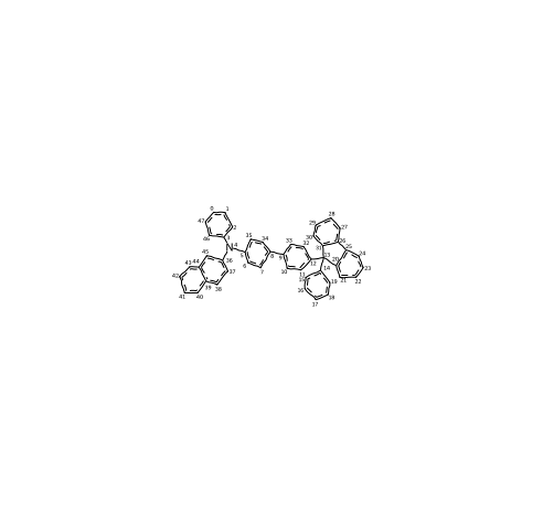 c1ccc(N(c2ccc(-c3ccc(C4(c5ccccc5)c5ccccc5-c5ccccc54)cc3)cc2)c2ccc3ccccc3c2)cc1